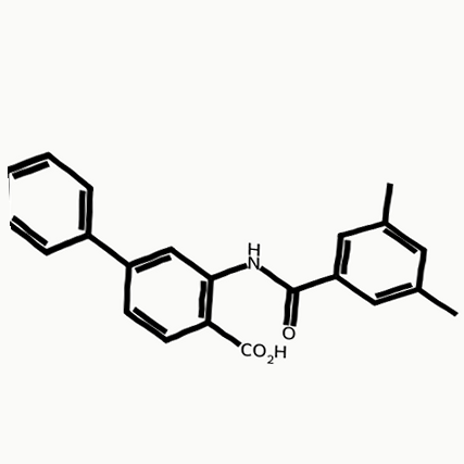 Cc1cc(C)cc(C(=O)Nc2cc(-c3ccccc3)ccc2C(=O)O)c1